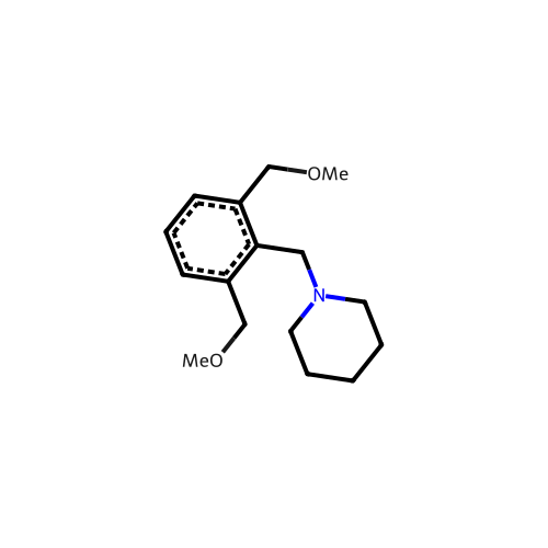 COCc1cccc(COC)c1CN1CCCCC1